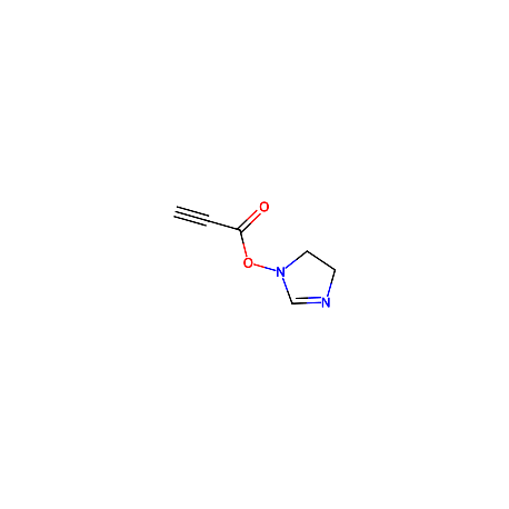 C#CC(=O)ON1C=NCC1